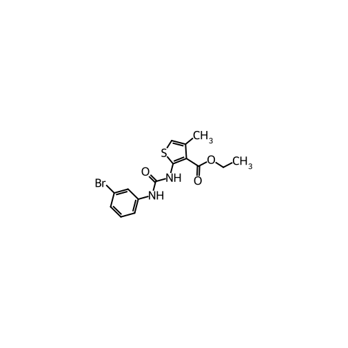 CCOC(=O)c1c(C)csc1NC(=O)Nc1cccc(Br)c1